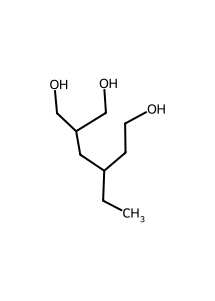 CCC(CCO)CC(CO)CO